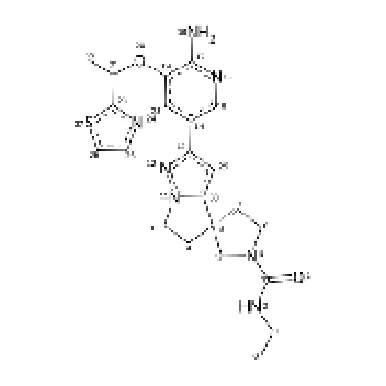 CCNC(=O)N1CC[C@@]2(CCn3nc(-c4cnc(N)c(OC(C)c5nccs5)c4)cc32)C1